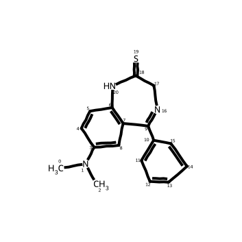 CN(C)c1ccc2c(c1)C(c1ccccc1)=NCC(=S)N2